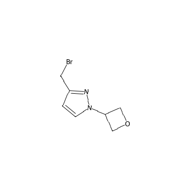 BrCc1ccn(C2COC2)n1